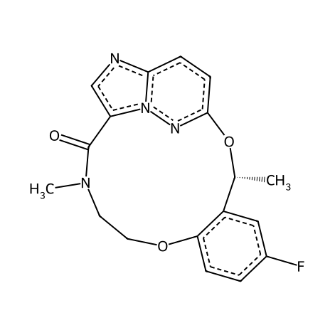 C[C@H]1Oc2ccc3ncc(n3n2)C(=O)N(C)CCOc2ccc(F)cc21